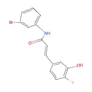 O=C(C=Cc1ccc(F)c(O)c1)Nc1cccc(Br)c1